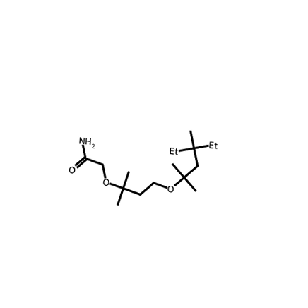 CCC(C)(CC)CC(C)(C)OCCC(C)(C)OCC(N)=O